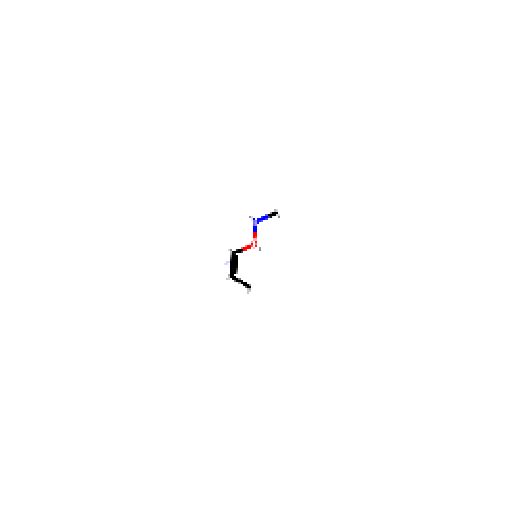 C/C=C\O[N]C